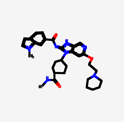 CC(C)NC(=O)C1CCC(n2/c(=N/C(=O)c3ccc4ccn(C)c4c3)[nH]c3cnc(OCCN4CCCCC4)cc32)CC1